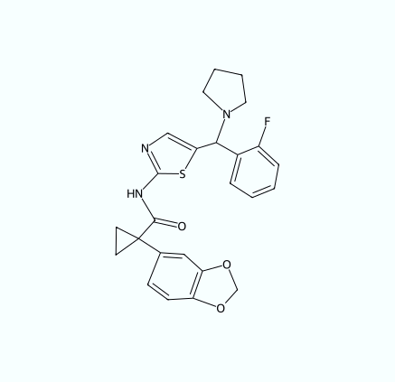 O=C(Nc1ncc(C(c2ccccc2F)N2CCCC2)s1)C1(c2ccc3c(c2)OCO3)CC1